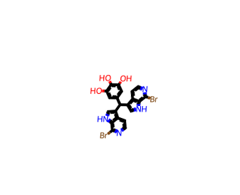 Oc1cc(C(c2c[nH]c3c(Br)nccc23)c2c[nH]c3c(Br)nccc23)cc(O)c1O